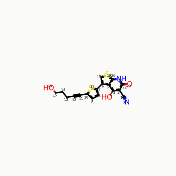 N#Cc1c(O)c2c(-c3ccc(C#CCCCO)s3)csc2[nH]c1=O